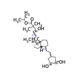 CC(C)OC(=O)C(C)(C)[C@H](O)/C=C/[C@@H](C)[C@H]1CC[C@H]2/C(=C/C=C3C[C@@H](O)C[C@H](O)C3)CCC[C@]12C